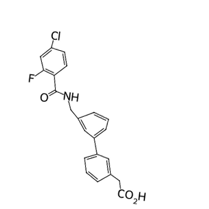 O=C(O)Cc1cccc(-c2cccc(CNC(=O)c3ccc(Cl)cc3F)c2)c1